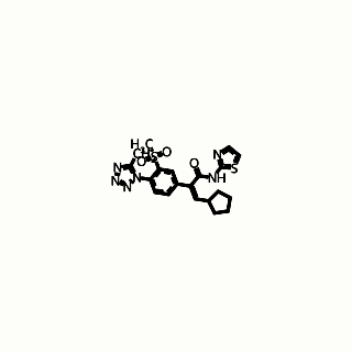 Cc1nnnn1-c1ccc(C(=CC2CCCC2)C(=O)Nc2nccs2)cc1S(C)(=O)=O